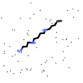 CNCCCNCCCCNCCCN